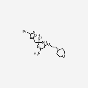 CC(C)c1cc(CC2(N)N=C(N)C=C(OCCN3CCOCC3)N2)on1